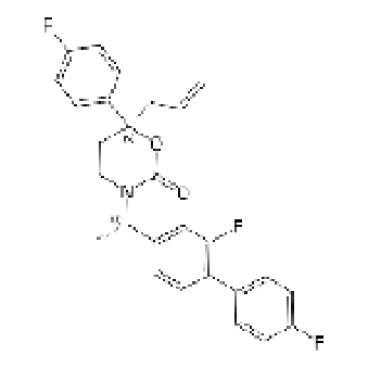 C=CC[C@@]1(c2ccc(F)cc2)CCN([C@@H](C)c2ccc(-c3ccc(F)cc3)c(F)c2)C(=O)O1